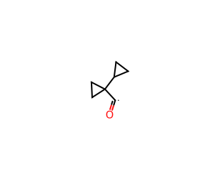 O=[C]C1(C2CC2)CC1